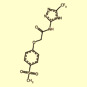 CS(=O)(=O)c1ccc(OCC(=O)Nc2nnc(C(F)(F)F)[nH]2)cc1